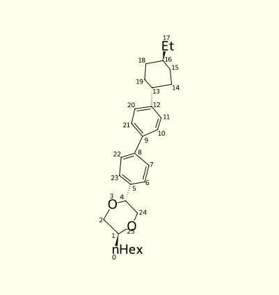 CCCCCC[C@H]1CO[C@H](c2ccc(-c3ccc([C@H]4CC[C@H](CC)CC4)cc3)cc2)CO1